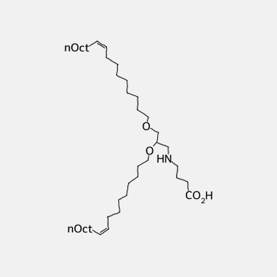 CCCCCCCC/C=C\CCCCCCCCOCC(CNCCCC(=O)O)OCCCCCCCC/C=C\CCCCCCCC